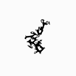 CCC(C(=O)Nc1ccc(C(=O)O)nc1)n1cc(OC)c(-c2cc(Cl)ccc2C#N)cc1=O